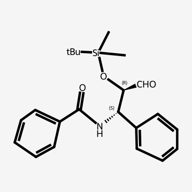 CC(C)(C)[Si](C)(C)O[C@@H](C=O)[C@@H](NC(=O)c1ccccc1)c1ccccc1